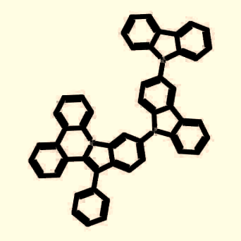 c1ccc(-c2c3ccc(-n4c5ccccc5c5cc(-n6c7ccccc7c7ccccc76)ccc54)cc3n3c4ccccc4c4ccccc4c23)cc1